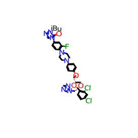 CC[C@@H](C)n1ncn(-c2ccc(N3CCN(c4ccc(OC[C@@H]5CO[C@@](Cn6cncn6)(c6ccc(Cl)cc6Cl)O5)cc4)CC3)c(F)c2)c1=O